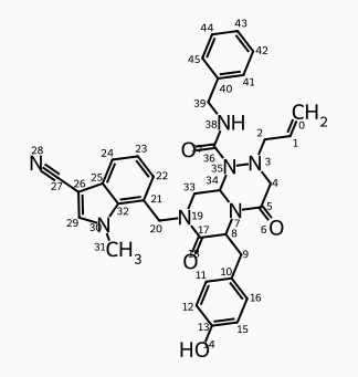 C=CCN1CC(=O)N2C(Cc3ccc(O)cc3)C(=O)N(Cc3cccc4c(C#N)cn(C)c34)CC2N1C(=O)NCc1ccccc1